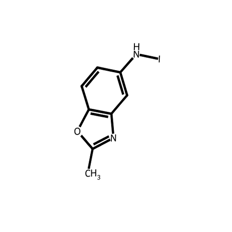 Cc1nc2cc(NI)ccc2o1